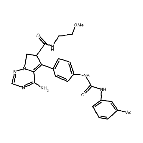 COCCNC(=O)C1CN2N=CN=C(N)C2=C1c1ccc(NC(=O)Nc2cccc(C(C)=O)c2)cc1